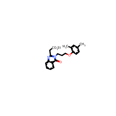 CCOC(=O)Cc1nc2ccccc2c(=O)n1CCCOc1ccc(C)cc1C